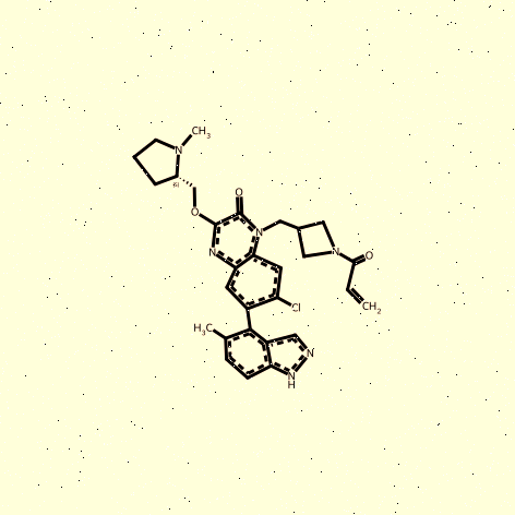 C=CC(=O)N1CC(Cn2c(=O)c(OC[C@@H]3CCCN3C)nc3cc(-c4c(C)ccc5[nH]ncc45)c(Cl)cc32)C1